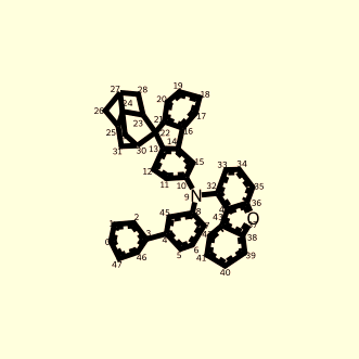 c1ccc(-c2cccc(N(c3ccc4c(c3)-c3ccccc3C43C4CC5CC(C4)CC3C5)c3cccc4oc5ccccc5c34)c2)cc1